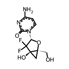 Nc1ccn([C@@H]2O[C@@]3(CO)C[C@]3(O)C2(F)F)c(=O)n1